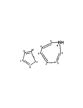 C1=CC=CNC=C1.C1=CCC=C1